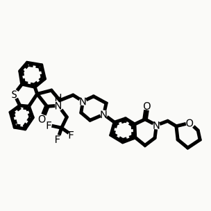 O=C1c2cc(N3CCN(CCCC4(C(=O)NCC(F)(F)F)c5ccccc5Sc5ccccc54)CC3)ccc2CCN1CC1CCCCO1